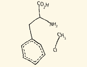 CCl.NC(Cc1ccccc1)C(=O)O